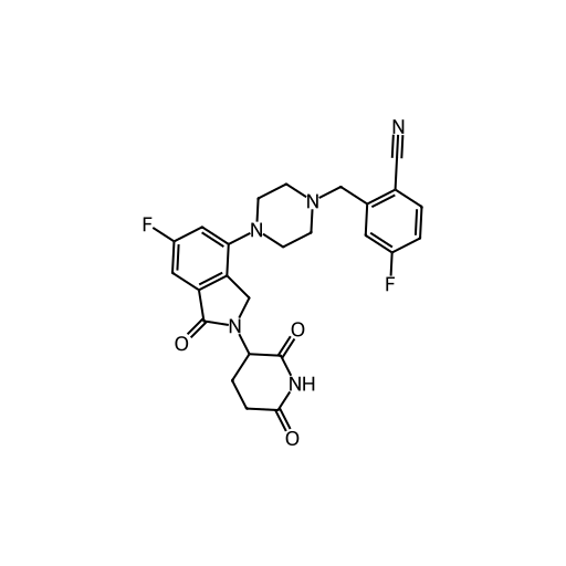 N#Cc1ccc(F)cc1CN1CCN(c2cc(F)cc3c2CN(C2CCC(=O)NC2=O)C3=O)CC1